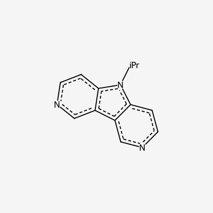 CC(C)n1c2ccncc2c2cnccc21